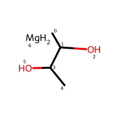 CC(O)C(C)O.[MgH2]